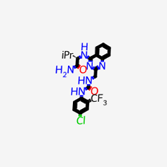 CC(C)[C@H](Nc1nc(CNC(=O)Nc2ccc(Cl)cc2C(F)(F)F)nc2ccccc12)C(N)=O